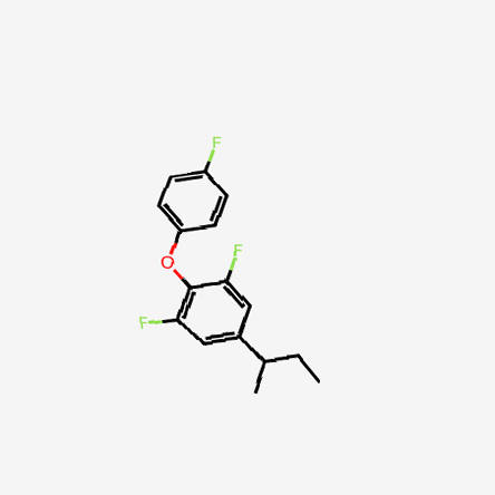 CCC(C)c1cc(F)c(Oc2ccc(F)cc2)c(F)c1